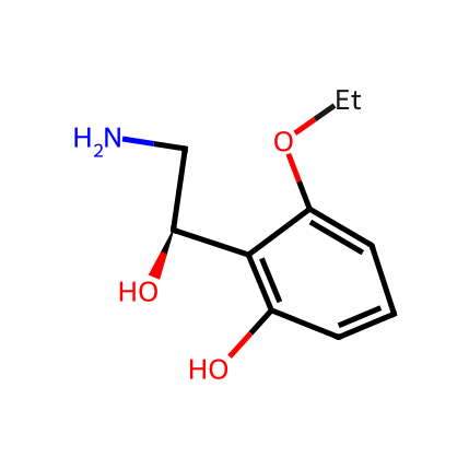 CCOc1cccc(O)c1[C@@H](O)CN